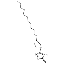 CCCCCCCCCCCCCCC(C)(CC)c1noc(=O)[nH]1